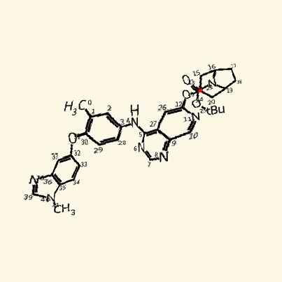 Cc1cc(Nc2ncnc3cnc(OC4CC5CCC(C4)N5C(=O)OC(C)(C)C)cc23)ccc1Oc1ccc2c(c1)ncn2C